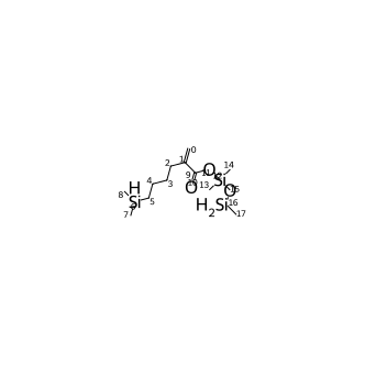 C=C(CCCC[SiH](C)C)C(=O)O[Si](C)(C)O[SiH2]C